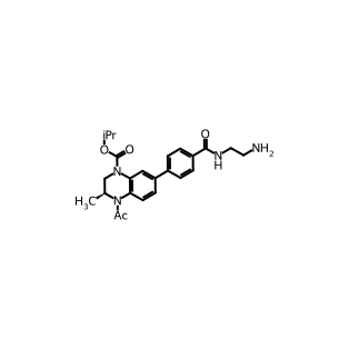 CC(=O)N1c2ccc(-c3ccc(C(=O)NCCN)cc3)cc2N(C(=O)OC(C)C)C[C@@H]1C